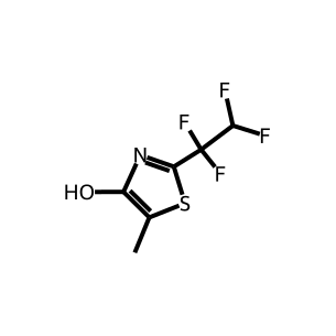 Cc1sc(C(F)(F)C(F)F)nc1O